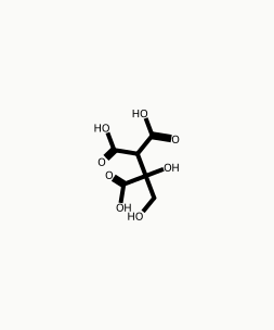 O=C(O)C(C(=O)O)C(O)(CO)C(=O)O